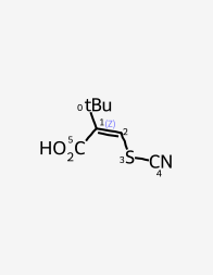 CC(C)(C)/C(=C/SC#N)C(=O)O